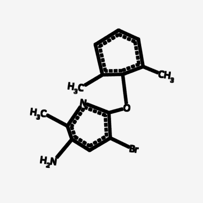 Cc1cccc(C)c1Oc1nc(C)c(N)cc1Br